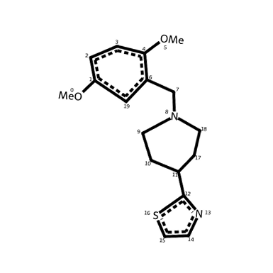 COc1ccc(OC)c(CN2CCC(c3nccs3)CC2)c1